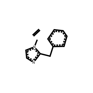 C=C.Cn1ccnc1Cc1ccccc1